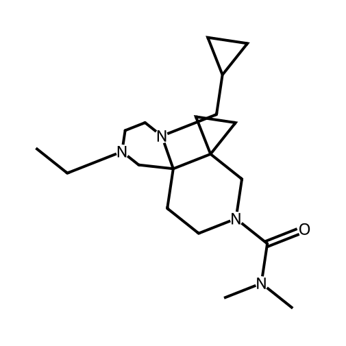 CCN1CCN(CC2CC2)C2(CCN(C(=O)N(C)C)CC23CC3)C1